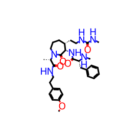 CNC(=O)NCC[C@H]1CCCN([C@@H](C)C(=O)NCCc2ccc(OC)cc2)C(=O)[C@H]1NC(=O)[C@@H](Cc1ccccc1)NC